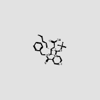 CCCCC[C@H](CC(=O)O)C(=O)[N@+]1(C(=O)OC(C)(C)C)CCNCC1C(=O)OCc1ccccc1